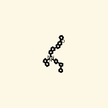 c1ccc(-c2cccc(-c3ccc(-c4nc(-c5ccc6ccc(-c7ccc8cc9oc%10ccccc%10c9cc8c7)cc6c5)nc(-c5cccc6ccccc56)n4)cc3)c2)cc1